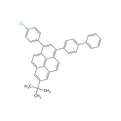 CC(C)(C)c1cc2ccc3c(-c4ccc(Cl)cc4)cc(-c4ccc(-c5ccccc5)cc4)c4ccc(c1)c2c34